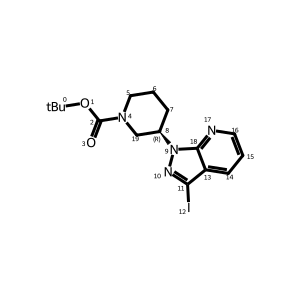 CC(C)(C)OC(=O)N1CCC[C@@H](n2nc(I)c3cccnc32)C1